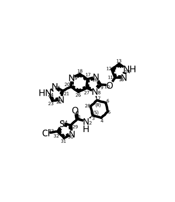 O=C(N[C@H]1CCC[C@@H](n2c(Oc3cc[nH]n3)nc3cnc(-c4nc[nH]n4)cc32)C1)c1ncc(Cl)s1